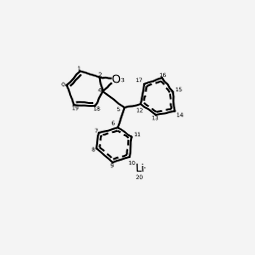 C1=CC2OC2(C(c2ccccc2)c2ccccc2)C=C1.[Li]